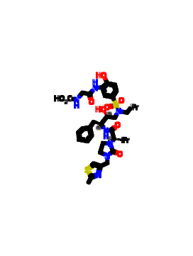 Cc1nc(CN2CCN([C@H](C(=O)N[C@@H](Cc3ccccc3)[C@H](O)CN(CC(C)C)S(=O)(=O)c3ccc(O)c(NC(=O)CNC(=O)O)c3)C(C)C)C2=O)cs1